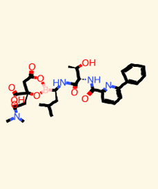 CC(C)C[C@H](NC(=O)[C@@H](NC(=O)c1cccc(-c2ccccc2)n1)[C@@H](C)O)B1OC(=O)C[C@@](CC(=O)N(C)C)(C(=O)O)O1